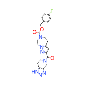 O=C(OCc1ccc(F)cc1)N1CCc2cc(C(=O)N3CCc4[nH]nnc4C3)nn2CC1